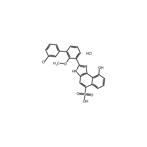 COc1c(-c2cccc(Cl)c2)cccc1-c1nc2c(cc(S(=O)(=O)O)c3cccc(O)c32)[nH]1.Cl